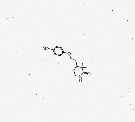 CC1(C)C(=O)NCCN1CCOc1ccc(Br)cc1